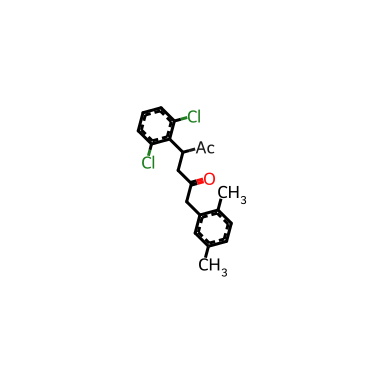 CC(=O)C(CC(=O)Cc1cc(C)ccc1C)c1c(Cl)cccc1Cl